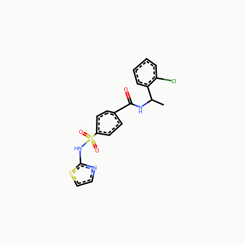 CC(NC(=O)c1ccc(S(=O)(=O)Nc2nccs2)cc1)c1ccccc1Cl